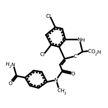 CN(C(=O)C=C1CC(C(=O)O)Nc2cc(Cl)cc(Cl)c21)c1ccc(C(N)=O)cc1